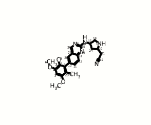 COc1cc(OC)c(Cl)c(-c2ccc3nc(NC4CNC(CC#N)C4)ncc3c2)c1C